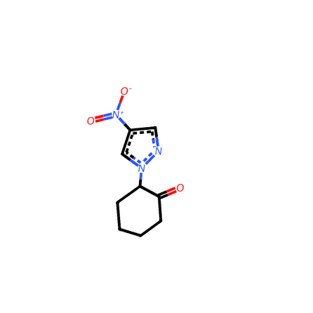 O=C1CCCCC1n1cc([N+](=O)[O-])cn1